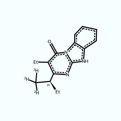 [2H]C([2H])([2H])[C@H](CC)c1nc2[nH]c3ccccc3n2c(=O)c1CC